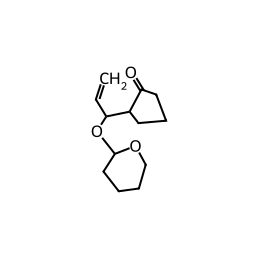 C=CC(OC1CCCCO1)C1CCCC1=O